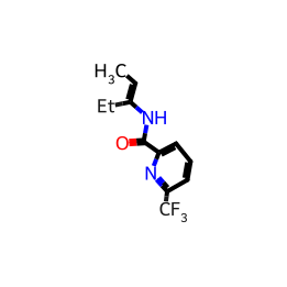 C/C=C(\CC)NC(=O)c1cccc(C(F)(F)F)n1